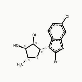 C[C@H]1O[C@@H](n2c(Br)nc3cc(Cl)ccc32)[C@H](O)[C@@H]1O